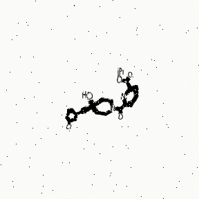 CC(C)OC(=O)c1cccc(C(=O)N2CCC(O)(C#Cc3cccc(Cl)c3)CC2)n1